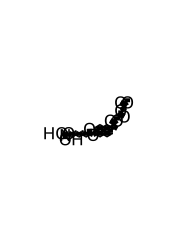 COC(=O)COC(=O)COC(=O)C(C)c1ccc2cc(OC(=O)CCCCCON(O)O)ccc2c1